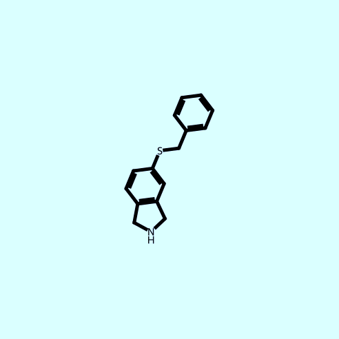 c1ccc(CSc2ccc3c(c2)CNC3)cc1